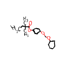 CCC(C)(C)C(=O)Oc1ccc(OCOC2CCCCC2)cc1